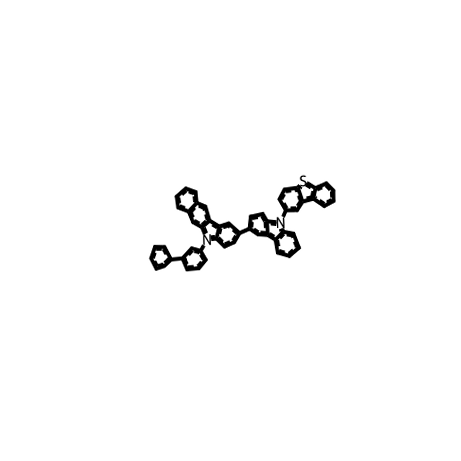 c1ccc(-c2cccc(-n3c4ccc(-c5ccc6c(c5)c5ccccc5n6-c5ccc6sc7ccccc7c6c5)cc4c4cc5ccccc5cc43)c2)cc1